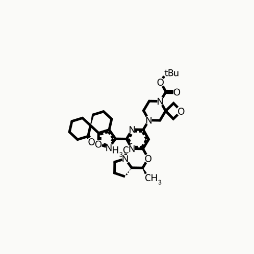 C[C@H](Oc1cc(N2CCN(C(=O)OC(C)(C)C)C3(COC3)C2)nc(-c2noc3c2CCC[C@@]32CCCCC2=O)n1)[C@@H]1CCCN1C